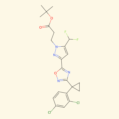 CC(C)(C)OC(=O)CCn1nc(-c2nc(C3(c4ccc(Cl)cc4Cl)CC3)no2)cc1C(F)F